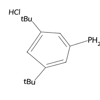 CC(C)(C)c1cc(P)cc(C(C)(C)C)c1.Cl